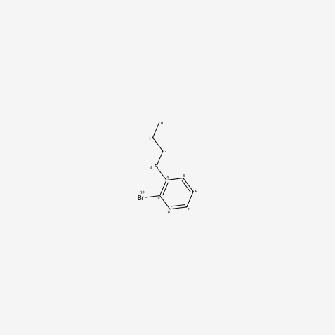 CCCSc1ccc[c]c1Br